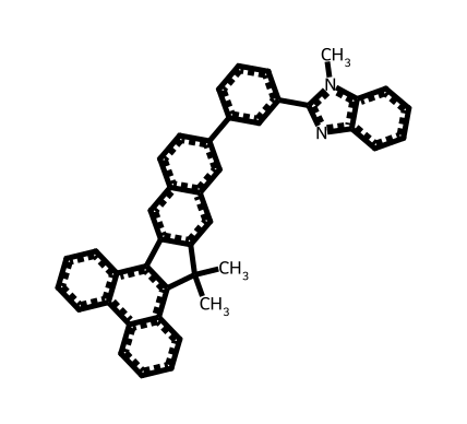 Cn1c(-c2cccc(-c3ccc4cc5c(cc4c3)C(C)(C)c3c-5c4ccccc4c4ccccc34)c2)nc2ccccc21